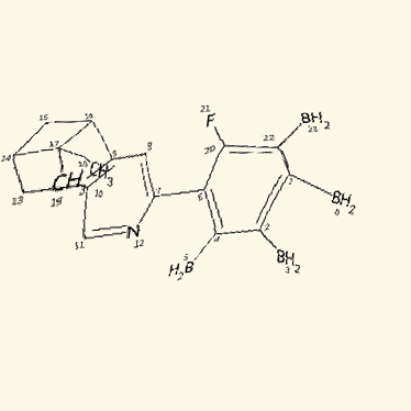 Bc1c(B)c(B)c(-c2cc3c(cn2)CC2CC3C2(C)C)c(F)c1B